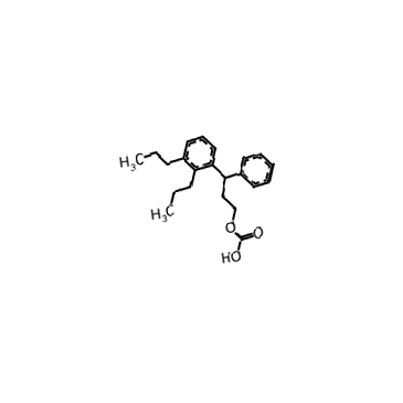 CCCc1cccc(C(CCOC(=O)O)c2ccccc2)c1CCC